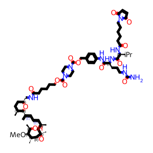 CO[C@H]([C@@H](C)[C@H]1O[C@]1(C)C[C@H](C)/C=C/C=C(\C)[C@H]1O[C@@H](CNC(=O)CCCCCOC(=O)N2CCN(C(=O)OCc3ccc(NC(=O)[C@H](CCCNC(N)=O)NC(=O)[C@@H](NC(=O)CCCCCN4C(=O)C=CC4=O)C(C)C)cc3)CC2)CC[C@@H]1C)[C@@H](C)O